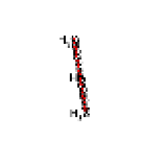 COCCOCCOCCOCCOCCOCCOP=NPOCCOCCOCCOCCOCCOCCOC